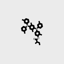 CCC(C)C(=O)Oc1ccc(N(c2cccc(C)c2)c2cc(C)c(N(c3cccc(C)c3)c3cccc(C)c3)cc2C)cc1C